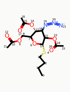 CCCCS[C@H]1OC(COC(C)=O)[C@H](OC(C)=O)C(N=[N+]=[N-])C1OC(C)=O